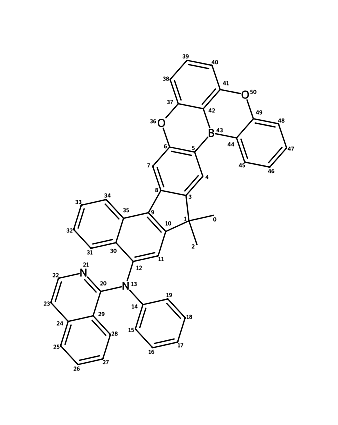 CC1(C)c2cc3c(cc2-c2c1cc(N(c1ccccc1)c1nccc4ccccc14)c1ccccc21)Oc1cccc2c1B3c1ccccc1O2